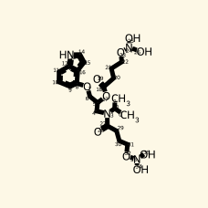 CC(C)N(CC(COc1cccc2[nH]ccc12)OC(=O)CCCON(O)O)C(=O)CCCON(O)O